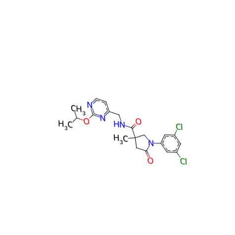 CC(C)Oc1nccc(CNC(=O)C2(C)CC(=O)N(c3cc(Cl)cc(Cl)c3)C2)n1